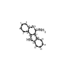 Nc1nc2ccccc2c2[nH]c3ccccc3c12